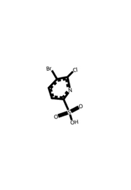 O=S(=O)(O)c1ccc(Br)c(Cl)n1